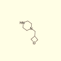 C1CN(CC2COC2)CCN1